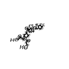 O=C(CO)N1CN(C(=O)CCO)c2ccc(Cn3cnc(OCc4ccc(F)cc4F)c(Cl)c3=O)cc21